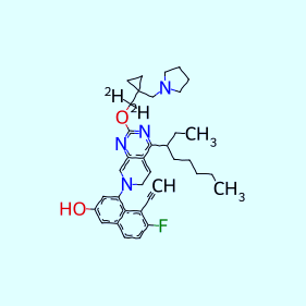 [2H]C([2H])(Oc1nc(C(CC)CCCCC)c2c(n1)=CN(c1cc(O)cc3ccc(F)c(C#C)c13)CC=2)C1(CN2CCCC2)CC1